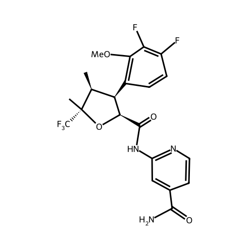 COc1c([C@H]2[C@@H](C(=O)Nc3cc(C(N)=O)ccn3)O[C@](C)(C(F)(F)F)[C@H]2C)ccc(F)c1F